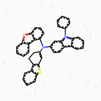 C1=C(N(c2ccc3c4ccccc4n(-c4ccccc4)c3c2)c2cccc3oc4ccccc4c23)CCc2c1sc1ccccc21